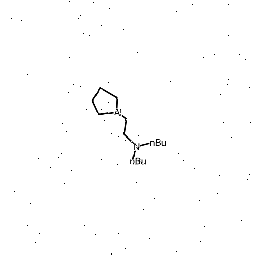 CCCCN(CCCC)C[CH2][Al]1[CH2]CC[CH2]1